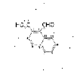 O=Cc1c(C(=O)O)ccc2ccccc12